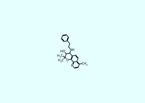 Cc1ccnc2c3c(ccc12)C(NCCc1ccccc1)C(O)C(C)(C)O3